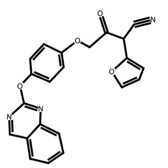 N#CC(C(=O)COc1ccc(Oc2ncc3ccccc3n2)cc1)c1ccco1